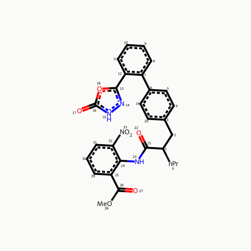 CCCC(Cc1ccc(-c2ccccc2-c2n[nH]c(=O)o2)cc1)C(=O)Nc1c(C(=O)OC)cccc1[N+](=O)[O-]